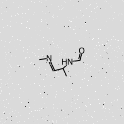 C/N=C/C(C)NC=O